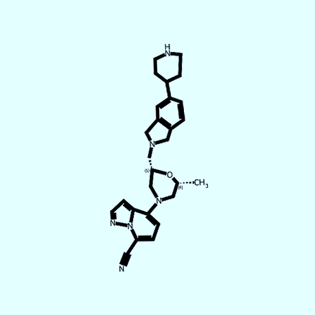 C[C@@H]1CN(c2ccc(C#N)n3nccc23)C[C@H](CN2Cc3ccc(C4CCNCC4)cc3C2)O1